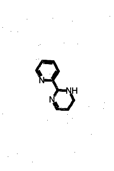 C1=NC(c2ccccn2)NCC1